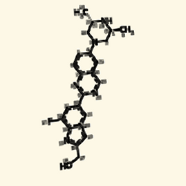 C[C@H]1CN(c2ccc3nc(-c4cc(F)c5nc(CO)cn5c4)ncc3c2)C[C@H](C)N1